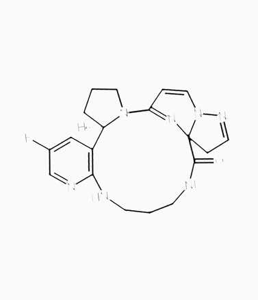 O=C1NCCCNc2ncc(F)cc2[C@H]2CCCN2C2=NC13CC=NN3C=C2